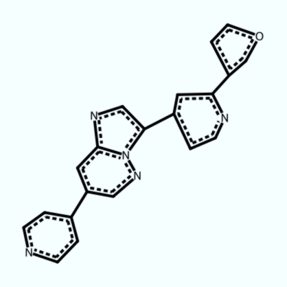 c1cc(-c2cnn3c(-c4ccnc(-c5ccoc5)c4)cnc3c2)ccn1